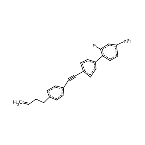 C=CCCc1ccc(C#Cc2ccc(-c3ccc(CCC)cc3F)cc2)cc1